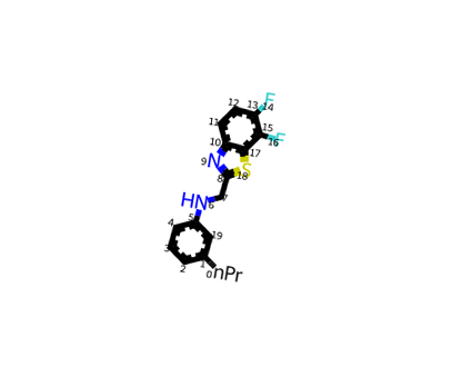 CCCc1cccc(NCc2nc3ccc(F)c(F)c3s2)c1